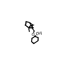 CC1(C)C2CCC1(C)C(COC1(O)CCCCC1)C2